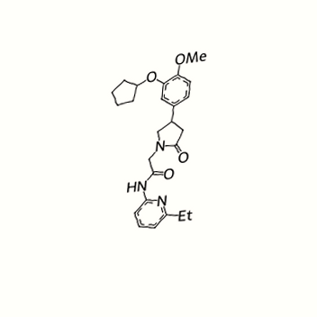 CCc1cccc(NC(=O)CN2CC(c3ccc(OC)c(OC4CCCC4)c3)CC2=O)n1